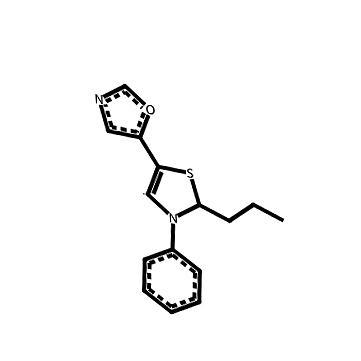 CCCC1SC(c2cnco2)=[C]N1c1ccccc1